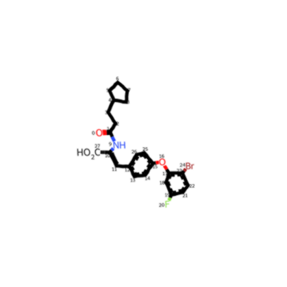 O=C(CCC1CCCC1)NC(=Cc1ccc(Oc2cc(F)ccc2Br)cc1)C(=O)O